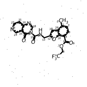 Cc1ccc(C(=O)OCC(F)(F)F)c2oc(CNC(=O)n3cnc4ccncc4c3=O)cc12